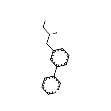 N[C@H](CO)Cc1cccc(-c2cccnc2)c1